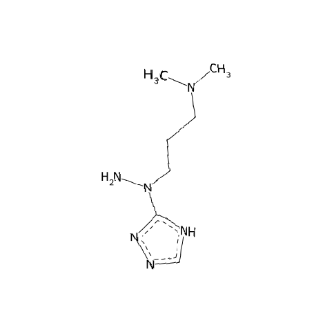 CN(C)CCCN(N)c1nnc[nH]1